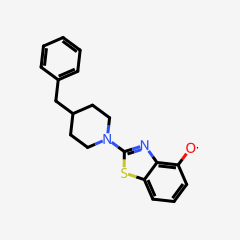 [O]c1cccc2sc(N3CCC(Cc4ccccc4)CC3)nc12